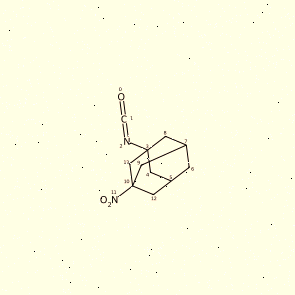 O=C=NC12CC3CC(C1)CC([N+](=O)[O-])(C3)C2